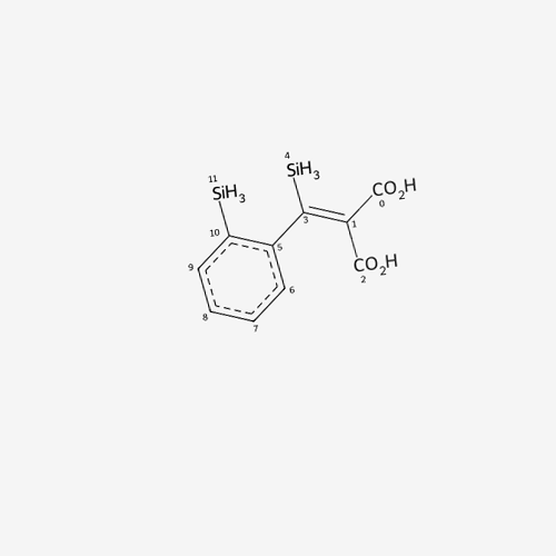 O=C(O)C(C(=O)O)=C([SiH3])c1ccccc1[SiH3]